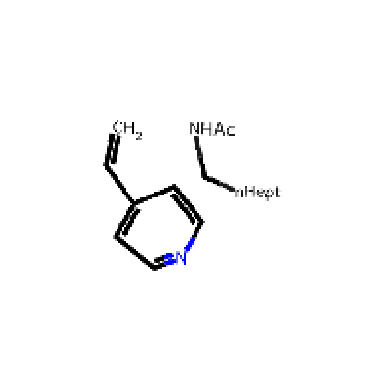 C=Cc1ccncc1.CCCCCCCCNC(C)=O